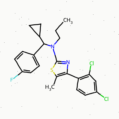 CCCN(c1nc(-c2ccc(Cl)cc2Cl)c(C)s1)C(c1ccc(F)cc1)C1CC1